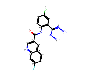 N/N=C(\NN)c1cc(Cl)ccc1NC(=O)c1cnc2cc(F)ccc2c1